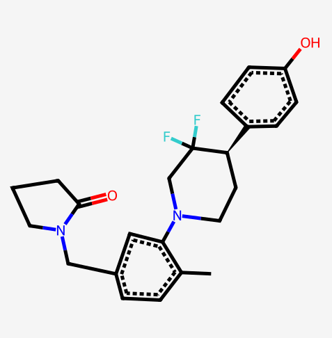 Cc1ccc(CN2CCCC2=O)cc1N1CC[C@H](c2ccc(O)cc2)C(F)(F)C1